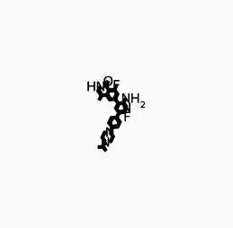 Cc1c[nH]c(=O)c2c(F)cc(-c3cc(-c4ccc(N5CCN(C(C)C)CC5)cc4)c(F)nc3N)cc12